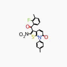 Cc1ccc(-n2c(=O)ccc3c(C(=O)c4cccc(C)c4F)c([N+](=O)[O-])sc32)cc1